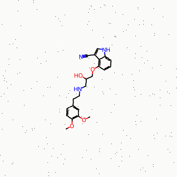 COc1ccc(CCNCC(O)COc2cccc3[nH]cc(C#N)c23)cc1OC